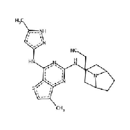 Cc1cc(Nc2nc(NC3CC4CCC(C3)N4CCC#N)nc3c(C)csc23)n[nH]1